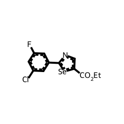 CCOC(=O)c1cnc(-c2cc(F)cc(Cl)c2)[se]1